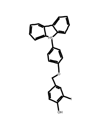 Oc1ccc(COc2ccc([SH]3c4ccccc4-c4ccccc43)cc2)cc1I